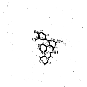 Nc1nc(NCCN2CCOCC2)c(-c2cncnc2)c(-c2ccc(F)c(Cl)c2)n1